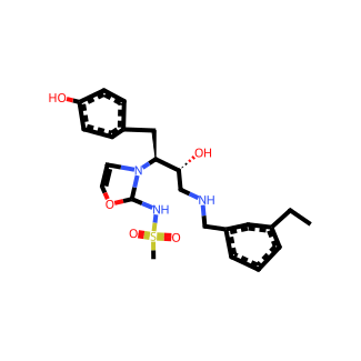 CCc1cccc(CNC[C@@H](O)[C@H](Cc2ccc(O)cc2)N2C=COC2NS(C)(=O)=O)c1